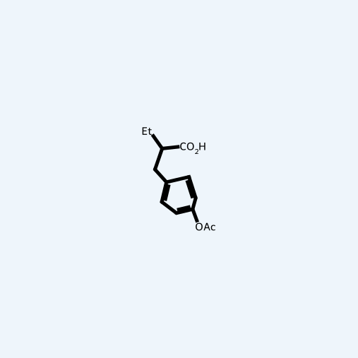 CCC(Cc1ccc(OC(C)=O)cc1)C(=O)O